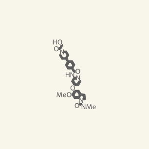 CNC(=O)n1ccc2cc(Oc3ccnc(NC(=O)c4ccc(C5CCN(C(=O)CO)CC5)cc4)c3)c(OC)cc21